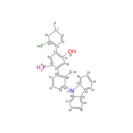 CC1C=CC(c2cc(P)c(-c3cccc(-n4c5ccccc5c5ccccc54)c3F)cc2O)=C(F)C1